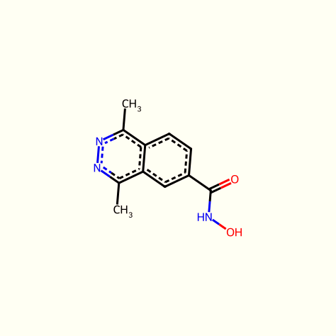 Cc1nnc(C)c2cc(C(=O)NO)ccc12